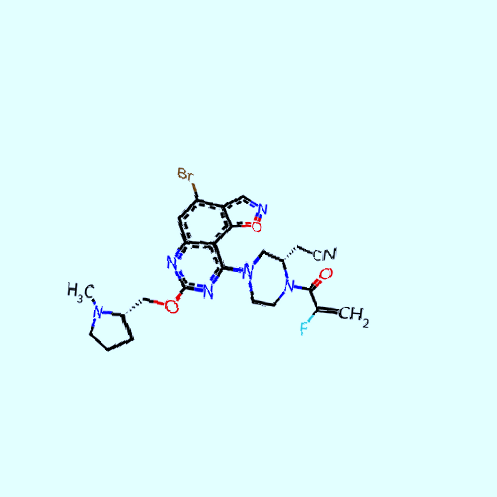 C=C(F)C(=O)N1CCN(c2nc(OC[C@@H]3CCCN3C)nc3cc(Br)c4cnoc4c23)C[C@@H]1CC#N